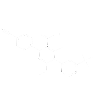 CSC1=NC(c2ccc(C#N)cc2)C(C(=O)O)=C(C)N1c1cccc(C(F)(F)F)c1